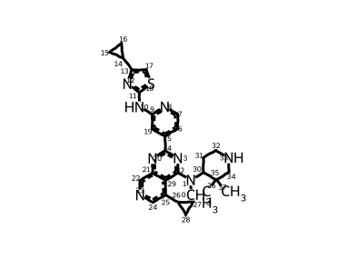 CN(c1nc(-c2ccnc(Nc3nc(C4CC4)cs3)c2)nc2cncc(C3CC3)c12)C1CCNCC1(C)C